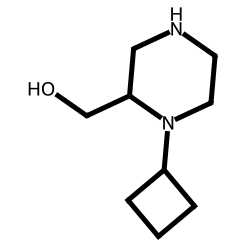 OCC1CNCCN1C1CCC1